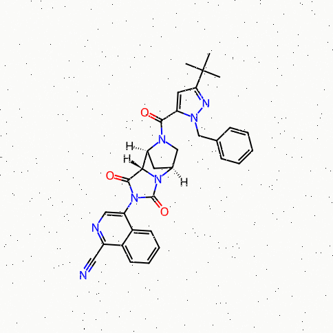 CC(C)(C)c1cc(C(=O)N2C[C@@H]3C[C@H]2[C@H]2C(=O)N(c4cnc(C#N)c5ccccc45)C(=O)N32)n(Cc2ccccc2)n1